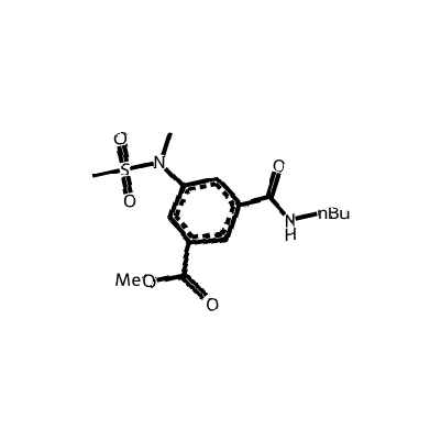 CCCCNC(=O)c1cc(C(=O)OC)cc(N(C)S(C)(=O)=O)c1